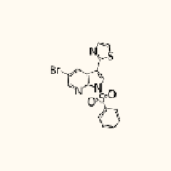 O=S(=O)(c1ccccc1)n1cc(-c2nccs2)c2cc(Br)cnc21